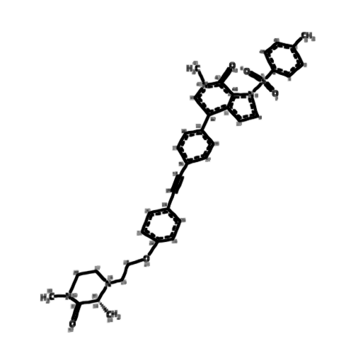 Cc1ccc(S(=O)(=O)n2ccc3c(-c4ccc(C#Cc5ccc(OCCN6CCN(C)C(=O)[C@H]6C)cc5)cc4)cn(C)c(=O)c32)cc1